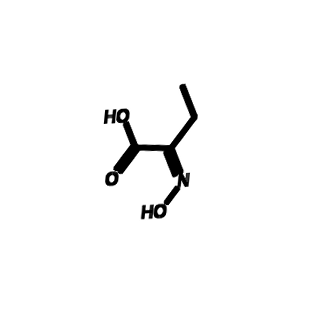 CC/C(=N/O)C(=O)O